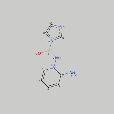 NC1C=CC=CN1N[S+]([O-])n1ccnc1